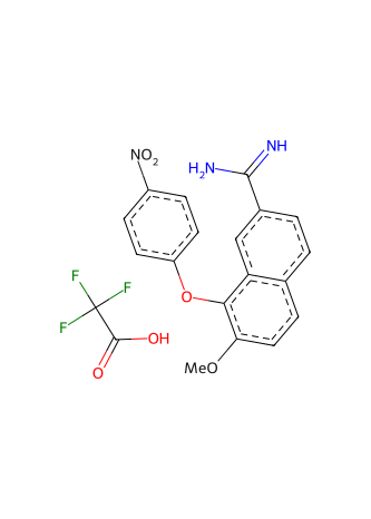 COc1ccc2ccc(C(=N)N)cc2c1Oc1ccc([N+](=O)[O-])cc1.O=C(O)C(F)(F)F